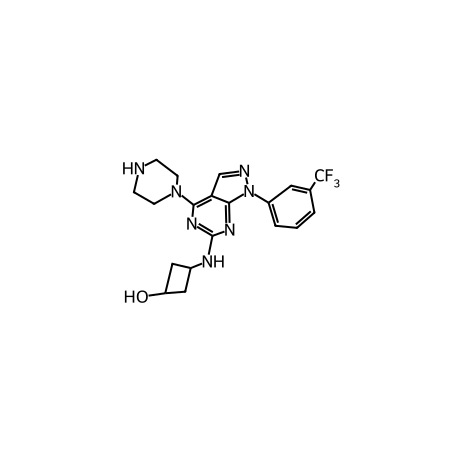 OC1CC(Nc2nc(N3CCNCC3)c3cnn(-c4cccc(C(F)(F)F)c4)c3n2)C1